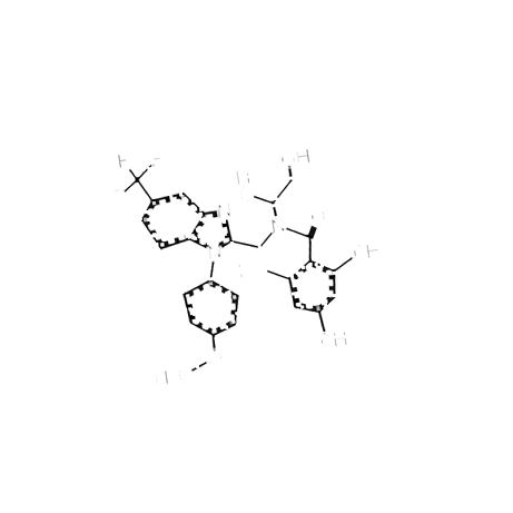 COc1ccc(-n2c(CN(C(=O)c3c(C)cc(C)cc3C)C(C)CO)nc3cc(C(F)(F)F)ccc32)cc1